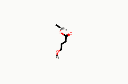 CCOCCCC(=O)O[SiH2]C